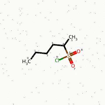 CCCCC(C)S(=O)(=O)Cl